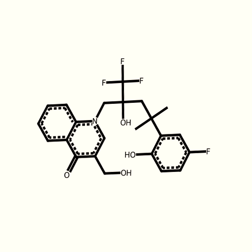 CC(C)(CC(O)(Cn1cc(CO)c(=O)c2ccccc21)C(F)(F)F)c1cc(F)ccc1O